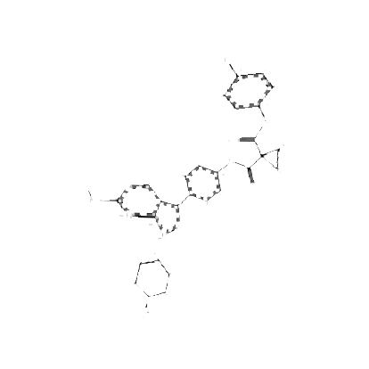 CCCCNc1ncc2c(-c3ccc(NC(=O)C4(C(=O)Nc5ccc(F)cc5)CC4)cc3)nn([C@H]3CC[C@H](O)CC3)c2n1